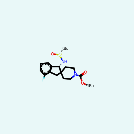 CC(C)(C)OC(=O)N1CCC2(CC1)Cc1c(F)cccc1[C@@H]2N[S@+]([O-])C(C)(C)C